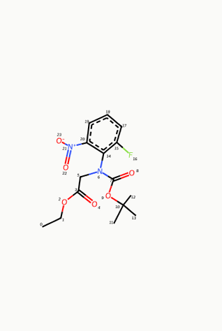 CCOC(=O)CN(C(=O)OC(C)(C)C)c1c(F)cccc1[N+](=O)[O-]